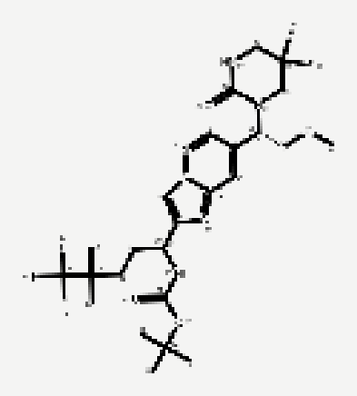 COC[C@H](c1cnn2cc([C@H](CCC(C)(C)C(F)(F)F)NC(=O)OC(C)(C)C)nc2c1)N1CC(F)(F)CNC1=O